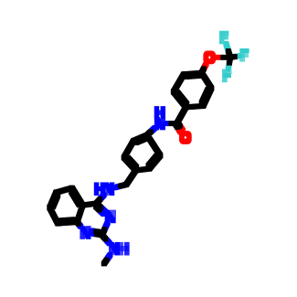 CNc1nc(NCc2ccc(NC(=O)c3ccc(OC(F)(F)F)cc3)cc2)c2ccccc2n1